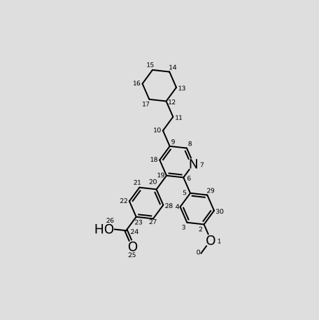 COc1ccc(-c2ncc(CCC3CCCCC3)cc2-c2ccc(C(=O)O)cc2)cc1